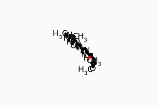 COC1CN(CC23CC(c4ncc(N5CC[C@@H](Oc6c(C)nc7nc(C)nn7c6C)C5)cn4)(C2)[C@H]3C)C1